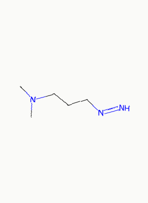 CN(C)CCCN=N